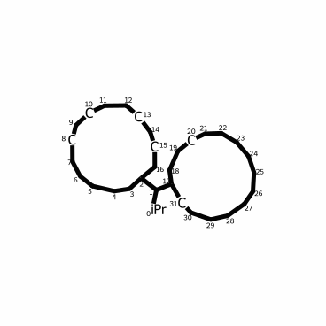 CC(C)C(C1CCCCCCCCCCCCCC1)C1CCCCCCCCCCCCCC1